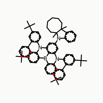 CC(C)(C)c1ccc(N2c3cc(C(C)(C)C)ccc3B3c4ccc(C(C)(C)C)cc4N(c4ccc(C(C)(C)C)cc4-c4ccccc4)c4cc(N5c6ccccc6C6(C)CCCCCCC56C)cc2c43)c(-c2ccccc2)c1